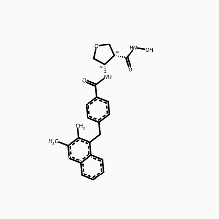 Cc1nc2ccccc2c(Cc2ccc(C(=O)N[C@@H]3COC[C@@H]3C(=O)NO)cc2)c1C